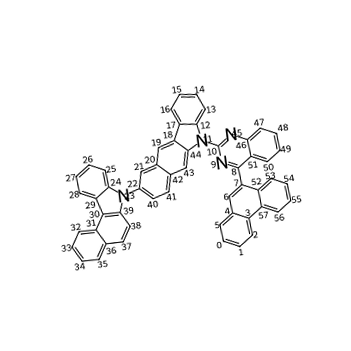 c1ccc2c(c1)cc(-c1nc(-n3c4ccccc4c4cc5cc(-n6c7ccccc7c7c8ccccc8ccc76)ccc5cc43)nc3ccccc13)c1ccccc12